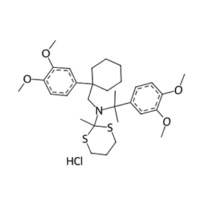 COc1ccc(C2(CN(C3(C)SCCCS3)C(C)(C)c3ccc(OC)c(OC)c3)CCCCC2)cc1OC.Cl